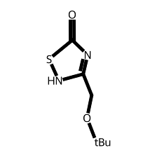 CC(C)(C)OCc1nc(=O)s[nH]1